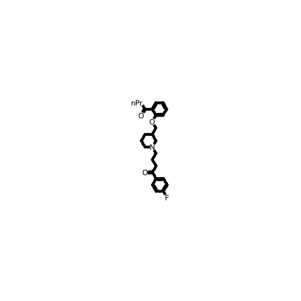 CCCC(=O)c1ccccc1OCC1CCCN(CCCC(=O)c2ccc(F)cc2)C1